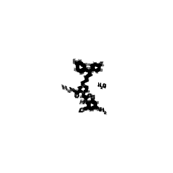 NC(=O)C1CN(CCCCC(c2ccc(F)cc2)c2ccc(F)cc2)CCN1CC(=O)Nc1c(Cl)cc(N)cc1Cl.O